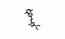 CCN(CC)c1nc(/C=C/c2nc3c(C)ncc(C)n3n2)n(C)n1